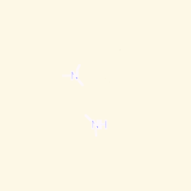 C=CNC(C=C)C1SC(C(=C)C)CN1C